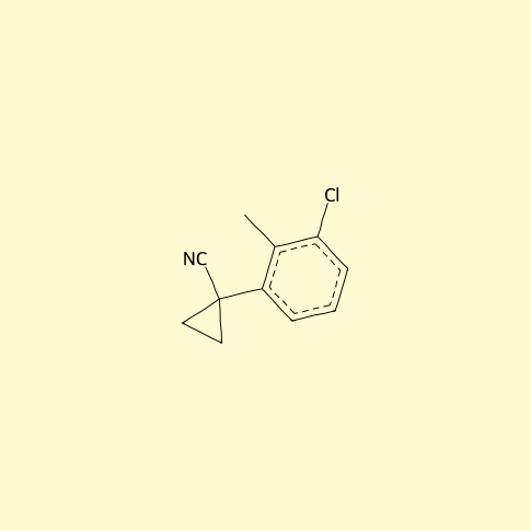 Cc1c(Cl)cccc1C1(C#N)CC1